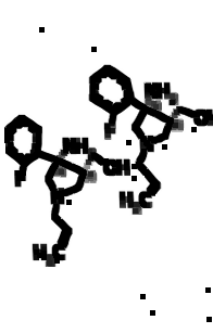 C=CCN1C[C@@H](CO)[C@](N)(c2ccccc2F)C1.C=CCN1C[C@@H](CO)[C@](N)(c2ccccc2F)C1